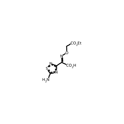 CCOC(=O)CON=C(C(=O)O)c1nsc(N)n1